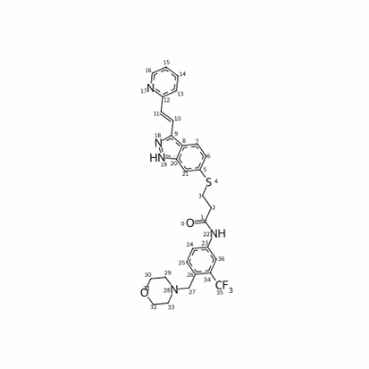 O=C(CCSc1ccc2c(C=Cc3ccccn3)n[nH]c2c1)Nc1ccc(CN2CCOCC2)c(C(F)(F)F)c1